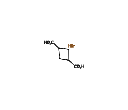 Br.O=C(O)C1CC(C(=O)O)C1